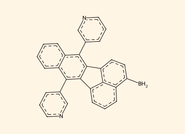 Bc1ccc2c3c(cccc13)-c1c-2c(-c2cccnc2)c2ccccc2c1-c1cccnc1